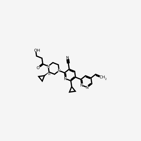 C=Cc1cnnc(-c2cc(C#N)c(N3CCN(C(=O)CCO)[C@H](C4CC4)C3)nc2C2CC2)c1